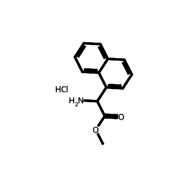 COC(=O)C(N)c1cccc2ccccc12.Cl